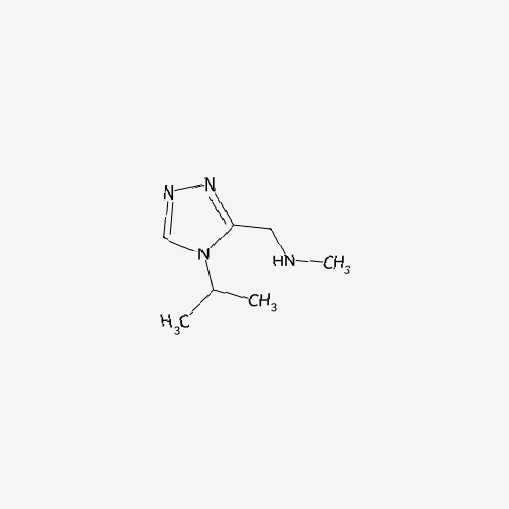 CNCc1nncn1C(C)C